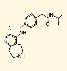 CC(C)NC(=O)Cc1ccc(CNc2c(Cl)ccc3c2CCNCC3)cc1